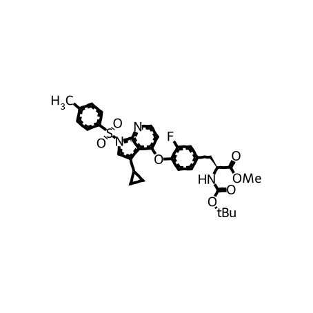 COC(=O)[C@H](Cc1ccc(Oc2ccnc3c2c(C2CC2)cn3S(=O)(=O)c2ccc(C)cc2)c(F)c1)NC(=O)OC(C)(C)C